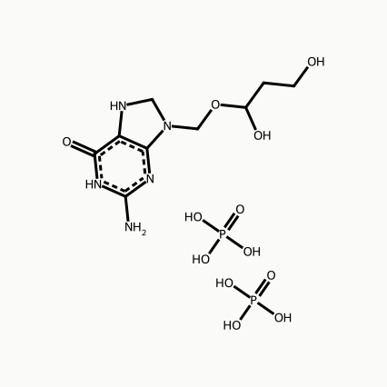 Nc1nc2c(c(=O)[nH]1)NCN2COC(O)CCO.O=P(O)(O)O.O=P(O)(O)O